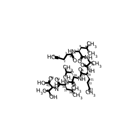 C#CCCC(=O)N[C@@H](CC(C)C)C(=O)N[C@@H](C)C(=O)N[C@@H](CCCC)C(=O)N[C@@H](CC(C)C)C(=O)N[C@@H](CC(C)C)C(=O)N[C@H](C(=O)O)C(C)O